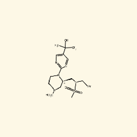 CC(C)CN(C[C@H]1CN(C(=O)O)CCN1c1ncc(C(O)(C(F)(F)F)C(F)(F)F)cn1)S(C)(=O)=O